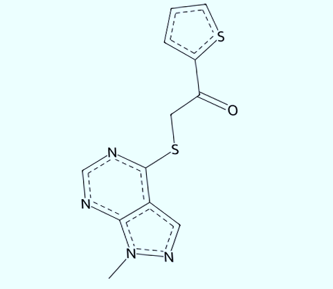 Cn1ncc2c(SCC(=O)c3cccs3)ncnc21